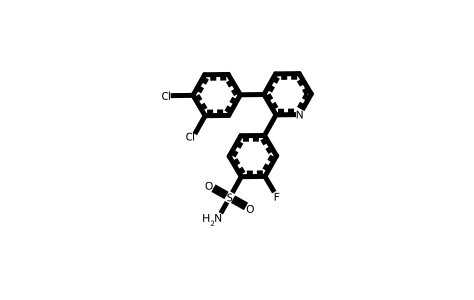 NS(=O)(=O)c1ccc(-c2ncccc2-c2ccc(Cl)c(Cl)c2)cc1F